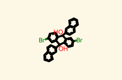 OC1(c2ccc3ccccc3c2)c2ccc(Br)cc2C(O)(c2ccc3ccccc3c2)c2ccc(Br)cc21